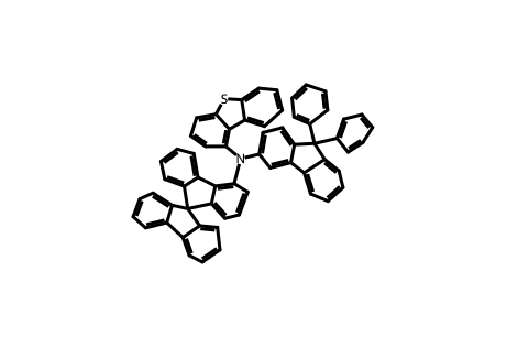 c1ccc(C2(c3ccccc3)c3ccccc3-c3cc(N(c4cccc5c4-c4ccccc4C54c5ccccc5-c5ccccc54)c4cccc5sc6ccccc6c45)ccc32)cc1